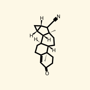 C[C@]12CCC(=O)C=C1CC[C@H]1[C@@H]3[C@@H]4C[C@@H]4C(C#N)[C@@]3(C)CC[C@@H]12